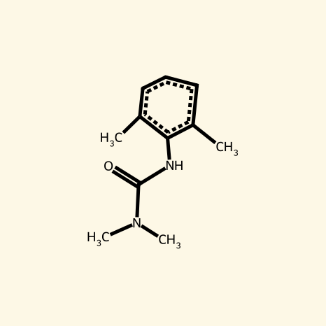 Cc1cccc(C)c1NC(=O)N(C)C